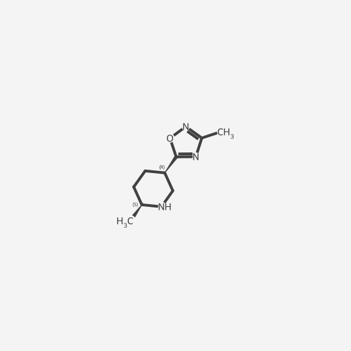 Cc1noc([C@@H]2CC[C@H](C)NC2)n1